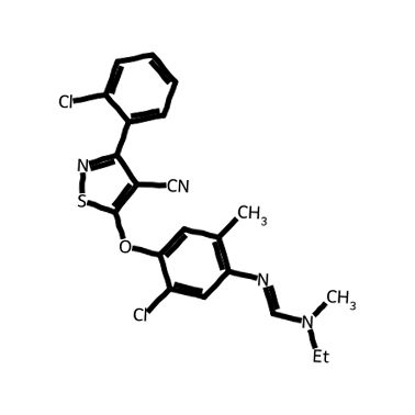 CCN(C)C=Nc1cc(Cl)c(Oc2snc(-c3ccccc3Cl)c2C#N)cc1C